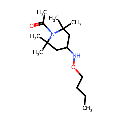 CCCCONC1CC(C)(C)N(C(C)=O)C(C)(C)C1